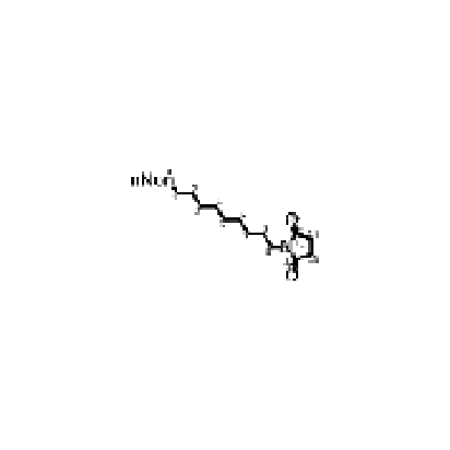 CCCCCCCCCCCCCCCCCC[N+]1C(=O)CCC1=O